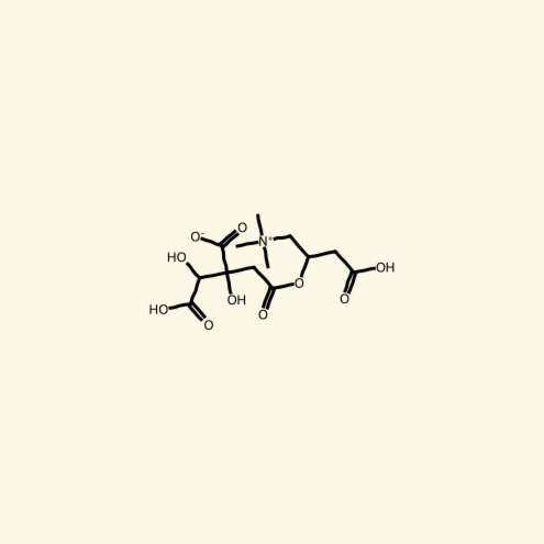 C[N+](C)(C)CC(CC(=O)O)OC(=O)CC(O)(C(=O)[O-])C(O)C(=O)O